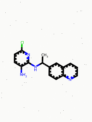 CC(Nc1nc(Cl)ccc1N)c1ccc2ncccc2c1